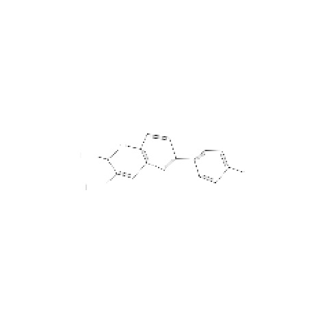 O=C(O)C1=Cc2cc(-c3ccc(F)cc3)ccc2OC1C(F)(F)F